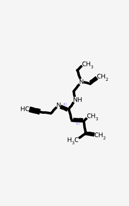 C#CC/N=C(\C=C(/C)C(=C)C)NCN(C=C)CC